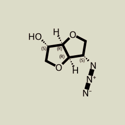 [N-]=[N+]=N[C@H]1CO[C@H]2[C@@H]1OC[C@@H]2O